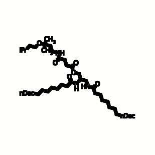 CCCCCCCCCCCCCCCCCC(=O)NCC(COC(=O)CCC(=O)NCCC(C)(C)OCCC(C)C)NC(=O)CCCCCCCCCCCCCCCCC